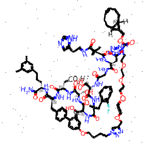 CCc1cc(OCCCCn2cc(COCCOCCOCCOCCNC(=O)OCC3[C@H]4CCC#CCC[C@@H]34)nn2)ccc1-c1ccc(C[C@H](NC(=O)[C@H](CC(=O)O)NC(=O)[C@H](CO)NC(=O)[C@@H](NC(=O)C(C)(Cc2ccccc2F)NC(=O)[C@@H](NC(=O)CNC(=O)[C@H](Cc2nn[nH]n2)NC(=O)C(C)(C)C(=O)NCCc2cnc[nH]2)[C@@H](C)O)[C@@H](C)O)C(=O)N[C@@H](CCCc2cc(C)cc(C)c2)C(N)=O)cc1